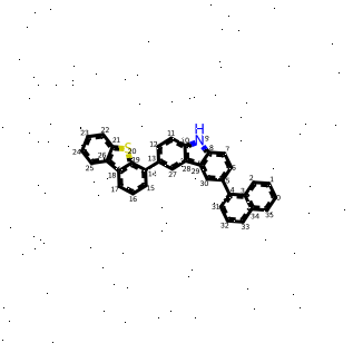 c1ccc2c(-c3ccc4[nH]c5ccc(-c6cccc7c6sc6ccccc67)cc5c4c3)cccc2c1